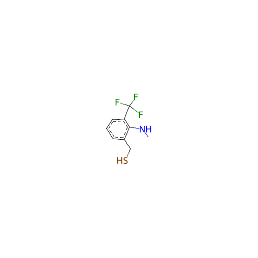 CNc1c(CS)cccc1C(F)(F)F